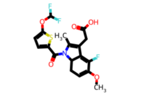 COC1=CCC2C(=C1F)C(CC(=O)O)=C(C)N2C(=O)c1ccc(OC(F)F)s1